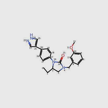 CCC1CN(Cc2cccc(OC)c2)C(=O)N1c1ccc(-c2cn[nH]c2)cc1